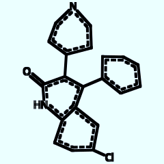 O=c1[nH]c2ccc(Cl)cc2c(-c2ccccc2)c1-c1ccncc1